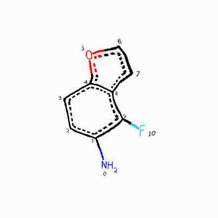 Nc1ccc2occc2c1F